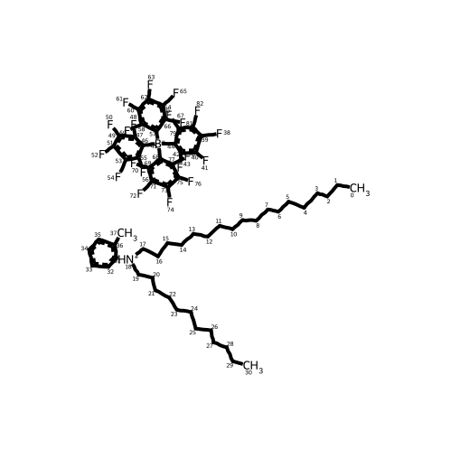 CCCCCCCCCCCCCCCCCC[NH+](CCCCCCCCCCCC)c1ccccc1C.Fc1c(F)c(F)c([B-](c2c(F)c(F)c(F)c(F)c2F)(c2c(F)c(F)c(F)c(F)c2F)c2c(F)c(F)c(F)c(F)c2F)c(F)c1F